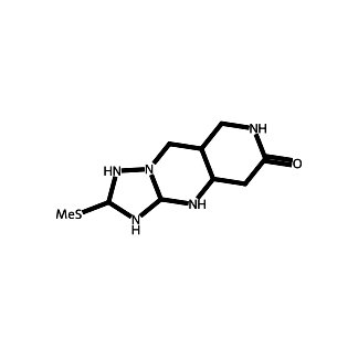 CSC1NC2NC3CC(=O)NCC3CN2N1